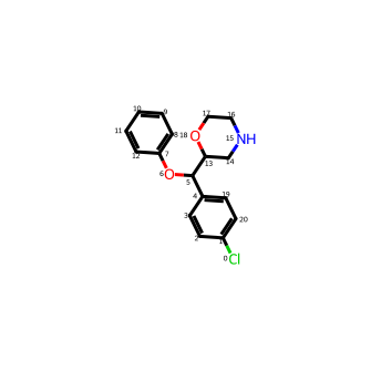 Clc1ccc(C(Oc2ccccc2)C2CNCCO2)cc1